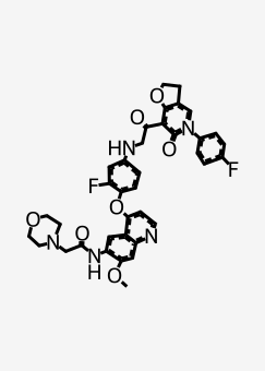 COc1cc2nccc(Oc3ccc(NCC(=O)c4c5c(cn(-c6ccc(F)cc6)c4=O)CCO5)cc3F)c2cc1NC(=O)CN1CCOCC1